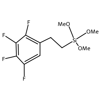 CO[Si](CCc1cc(F)c(F)c(F)c1F)(OC)OC